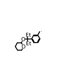 [CH2]c1cccc(C(CC)(CC)OC2CCCCO2)c1